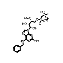 CCCc1nc(NCc2ccccc2)c2ncn([C@H](O)[C@H](O)[C@@H](COP(=O)(O)CP(=O)(O)O)OC)c2n1